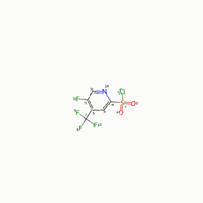 O=S(=O)(Cl)c1cc(C(F)(F)F)c(F)cn1